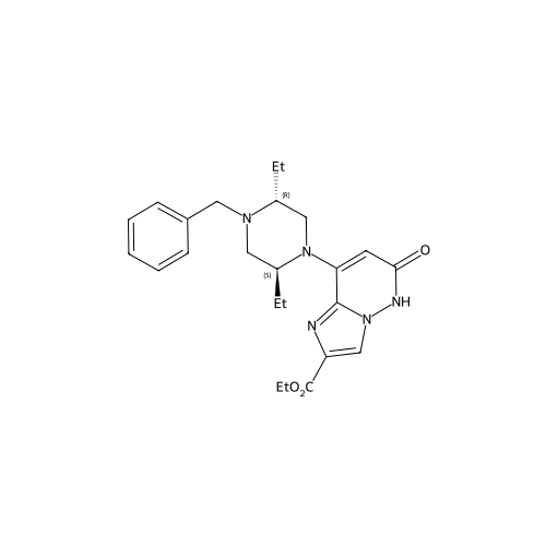 CCOC(=O)c1cn2[nH]c(=O)cc(N3C[C@@H](CC)N(Cc4ccccc4)C[C@@H]3CC)c2n1